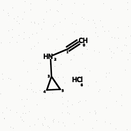 C#CNC1CC1.Cl